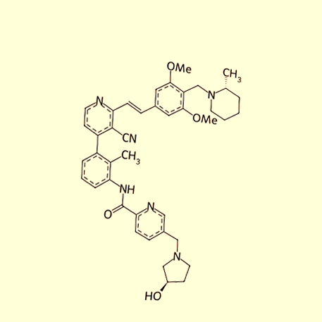 COc1cc(/C=C/c2nccc(-c3cccc(NC(=O)c4ccc(CN5CC[C@@H](O)C5)cn4)c3C)c2C#N)cc(OC)c1CN1CCCC[C@H]1C